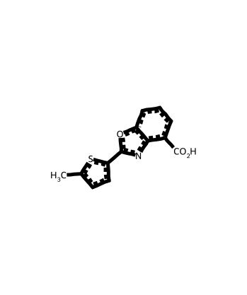 Cc1ccc(-c2nc3c(C(=O)O)cccc3o2)s1